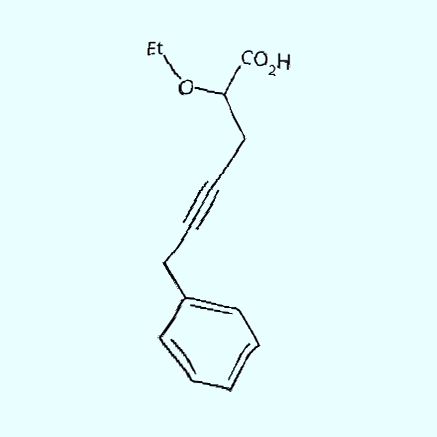 CCOC(CC#CCc1ccccc1)C(=O)O